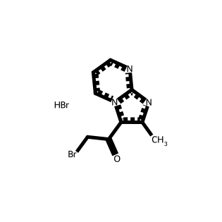 Br.Cc1nc2ncccn2c1C(=O)CBr